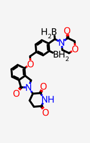 Bc1cc(COc2cccc3c2CN(C2CCC(=O)NC2=O)C3=O)ccc1C(B)N1CCOCC1=O